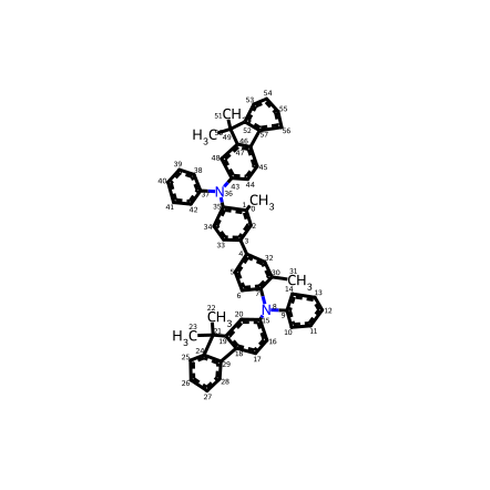 Cc1cc(-c2ccc(N(c3ccccc3)c3ccc4c(c3)C(C)(C)c3ccccc3-4)c(C)c2)ccc1N(c1ccccc1)c1ccc2c(c1)C(C)(C)c1ccccc1-2